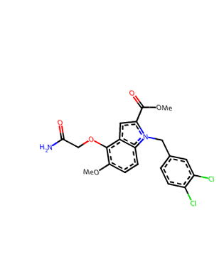 COC(=O)c1cc2c(OCC(N)=O)c(OC)ccc2n1Cc1ccc(Cl)c(Cl)c1